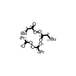 CC(C)C(=O)OOC(=O)C(C)C.CCC(C)CC(=O)OOC(=O)CC(C)CC